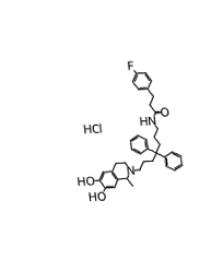 CC1c2cc(O)c(O)cc2CCN1CCCC(CCCNC(=O)CCc1ccc(F)cc1)(c1ccccc1)c1ccccc1.Cl